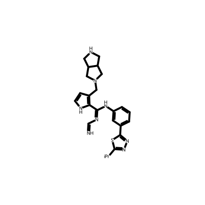 CC(C)c1nnc(-c2cccc(N/C(=N/C=N)c3[nH]ccc3CN3CC4CNCC4C3)c2)s1